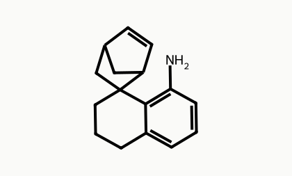 Nc1cccc2c1C1(CCC2)CC2C=CC1C2